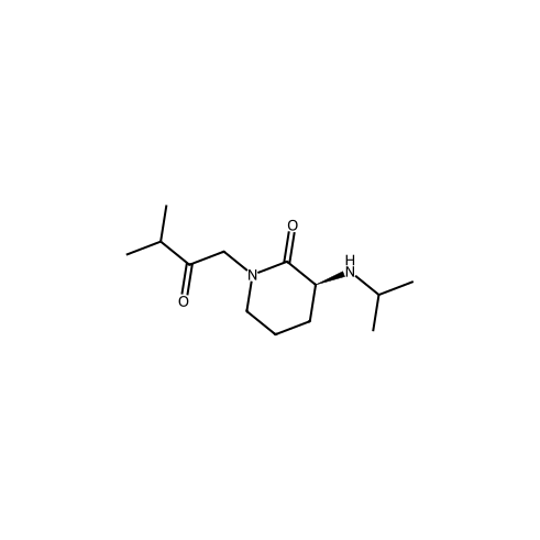 CC(C)N[C@H]1CCCN(CC(=O)C(C)C)C1=O